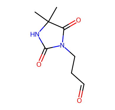 CC1(C)NC(=O)N(CCC=O)C1=O